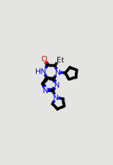 CCC1C(=O)Nc2cnc(N3CCCC3)nc2N1C1CCCC1